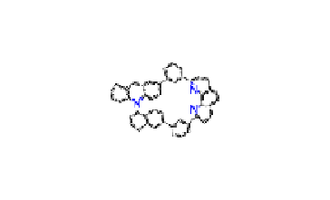 c1cc(-c2ccc3ccccc3c2)cc(-c2ccc3ccc4ccc(-c5cccc(-c6ccc7nc8ccccc8cc7c6)c5)nc4c3n2)c1